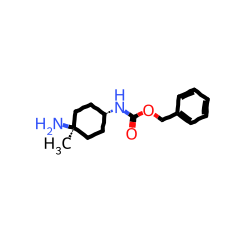 C[C@]1(N)CC[C@H](NC(=O)OCc2ccccc2)CC1